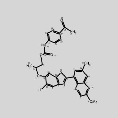 COc1cnc2c(-c3nc4cc(F)c(O[C@@H](C)COC(=O)Nc5cnc(C(N)=O)nc5)cc4s3)cc(C)cc2n1